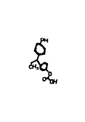 CCC(c1ccc(O)cc1)c1ccc(OC(=O)O)cc1